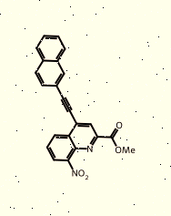 COC(=O)c1cc(C#Cc2ccc3ccccc3c2)c2cccc([N+](=O)[O-])c2n1